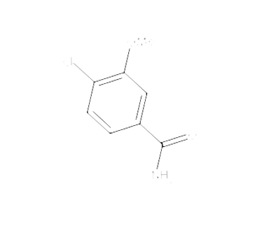 COc1cc(C(N)=O)ccc1Cl